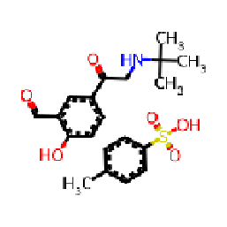 CC(C)(C)NCC(=O)c1ccc(O)c(C=O)c1.Cc1ccc(S(=O)(=O)O)cc1